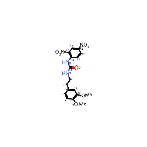 COc1ccc(CCNC(=O)Nc2ccc([N+](=O)[O-])cc2[N+](=O)[O-])cc1OC